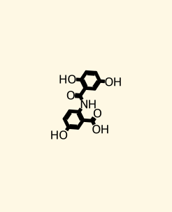 O=C(Nc1ccc(O)cc1C(=O)O)c1cc(O)ccc1O